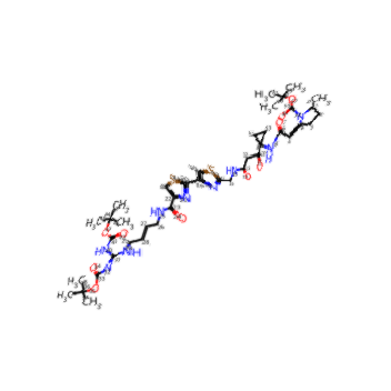 C[C@H]1CC/C(=C/C(=O)NC2(C(=O)CC(=O)NCc3nc(-c4nc(C(=O)NCCCCN/C(=N/C(=O)OC(C)(C)C)NC(=O)OC(C)(C)C)cs4)cs3)CC2)N1C(=O)OC(C)(C)C